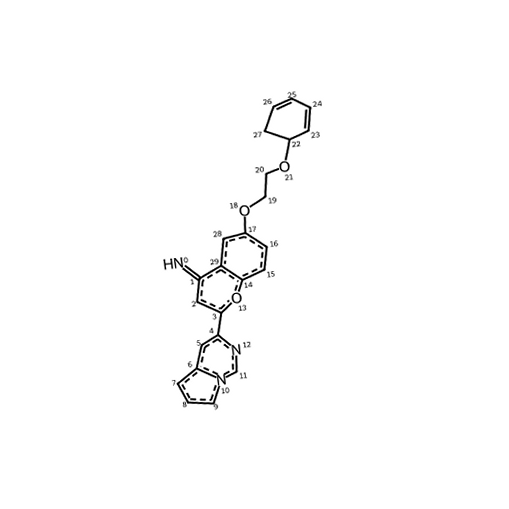 N=c1cc(-c2cc3cccn3cn2)oc2ccc(OCCOC3C=CC=CC3)cc12